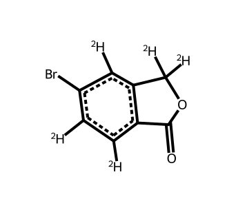 [2H]c1c([2H])c2c(c([2H])c1Br)C([2H])([2H])OC2=O